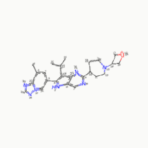 Cc1cc(-c2[nH]c3cnc(C4CCN(C5COC5)CC4)nc3c2C(C)C)cn2ncnc12